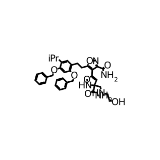 CC(C)c1cc(CCc2onc(C(N)=O)c2C2=CC(CNCCO)(C(N)=O)NO2)c(OCc2ccccc2)cc1OCc1ccccc1